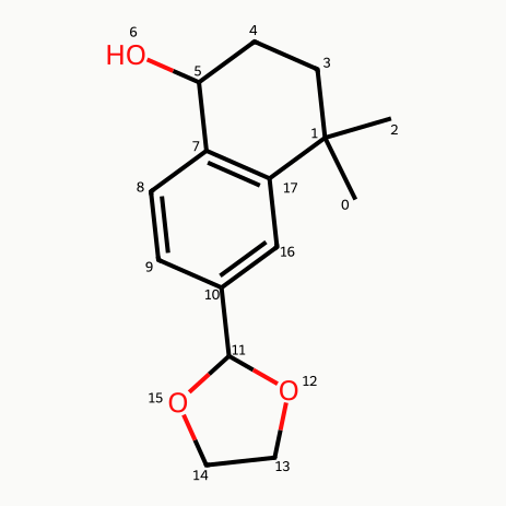 CC1(C)CCC(O)c2ccc(C3OCCO3)cc21